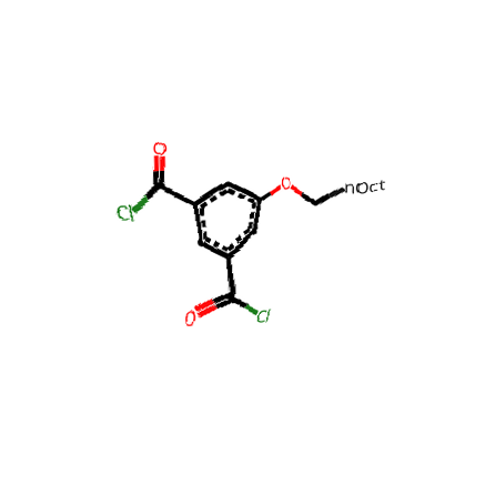 CCCCCCCCCOc1cc(C(=O)Cl)cc(C(=O)Cl)c1